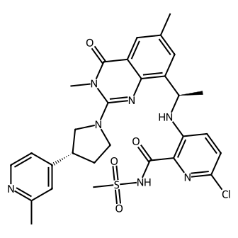 Cc1cc([C@@H](C)Nc2ccc(Cl)nc2C(=O)NS(C)(=O)=O)c2nc(N3CC[C@H](c4ccnc(C)c4)C3)n(C)c(=O)c2c1